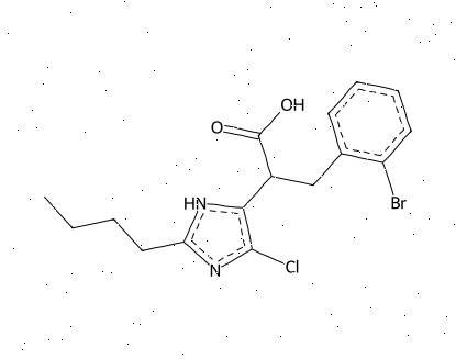 CCCCc1nc(Cl)c(C(Cc2ccccc2Br)C(=O)O)[nH]1